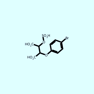 O=C(O)C(Oc1ccc(Br)cc1)C(OS(=O)(=O)O)C(=O)O